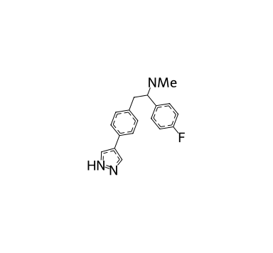 CNC(Cc1ccc(-c2cn[nH]c2)cc1)c1ccc(F)cc1